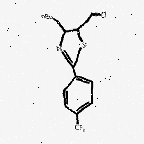 CCCCC1N=C(c2ccc(C(F)(F)F)cc2)SC1CCl